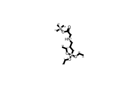 CCO[Si](CCCNCC(=O)O[Si](C)(C)C)(OCC)OCC